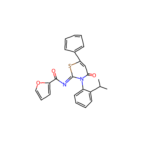 CC(C)c1ccccc1-n1c(=O)cc(-c2ccccc2)sc1=NC(=O)c1ccco1